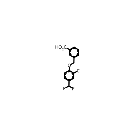 O=C(O)c1cccc(COc2ccc(C(F)F)cc2Cl)c1